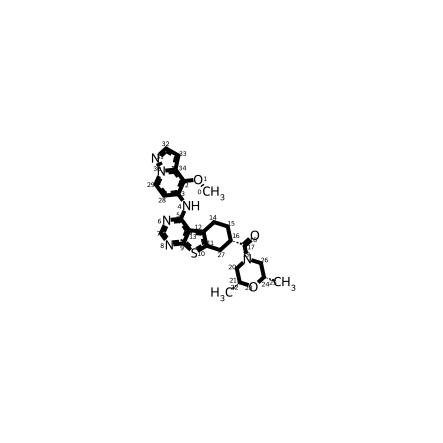 COc1c(Nc2ncnc3sc4c(c23)CC[C@H](C(=O)N2C[C@@H](C)O[C@@H](C)C2)C4)ccn2nccc12